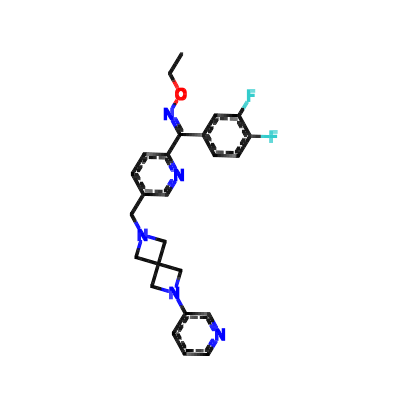 CCO/N=C(\c1ccc(F)c(F)c1)c1ccc(CN2CC3(C2)CN(c2cccnc2)C3)cn1